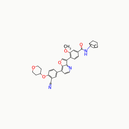 COc1cc(C(=O)NC2CC3CCC2CC3)ccc1-c1coc2c(-c3ccc(OC4CCOCC4)c(C#N)c3)ccnc12